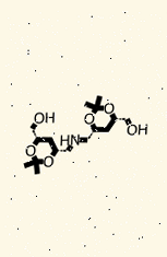 CC1(C)O[C@H](CO)C[C@H](CNC[C@H]2C[C@@H](CO)OC(C)(C)O2)O1